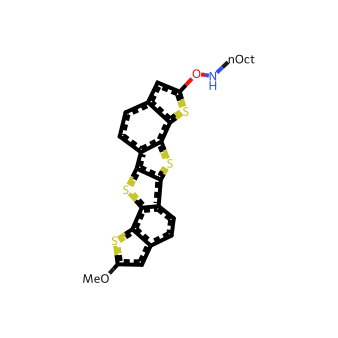 CCCCCCCCNOc1cc2ccc3c(sc4c5ccc6cc(OC)sc6c5sc34)c2s1